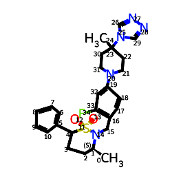 C[C@H]1CCC(c2ccccc2)S(=O)(=O)N1Cc1ccc(N2CCC(C)(n3cnnc3)CC2)cc1F